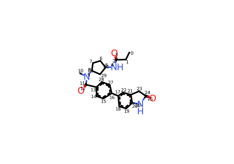 CCC(=O)N[C@@H]1CC[C@H](N(C)C(=O)c2ccc(-c3ccc4c(c3)CC(=O)N4)cc2)C1